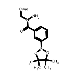 COCN(N)C(=O)c1cccc(B2OC(C)(C)C(C)(C)O2)c1